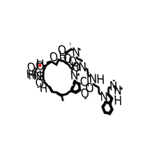 CNN(C)Cc1cc2ccccc2n1CCC(=O)NCCNCC(=O)N(C)[C@@H](C)C(=O)O[C@H]1CC(=O)N(C)c2cc(cc(OC)c2Cl)C/C(C)=C/C=C/[C@@H](OC)[C@@]2(O)C[C@H](OC(=O)N2)C2(C)C[C@@]1(C)O2